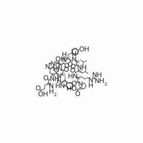 CC(C)C[C@H](NC(=O)[C@@H](CC(C)C)NC(=O)[C@H](Cc1ccc(O)cc1)NC(=O)[C@H](CO)NC(=O)[C@H](Cc1c[nH]c2ccccc12)NC(=O)[C@H](Cc1c[nH]cn1)NC(=O)[C@@H](N)CCC(=O)O)C(=O)N[C@@H](CCCNC(=N)N)C(=O)N1CCC[C@H]1C(=O)O